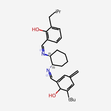 C=C1C=C(/C=N\[C@H]2CCCC[C@@H]2/N=C\c2cccc(CC(C)C)c2O)C(O)C(C(C)(C)C)=C1